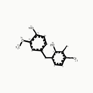 Cc1c(C(F)(F)F)ccc(Cc2ccc(O)c(OC(F)(F)F)c2)c1O